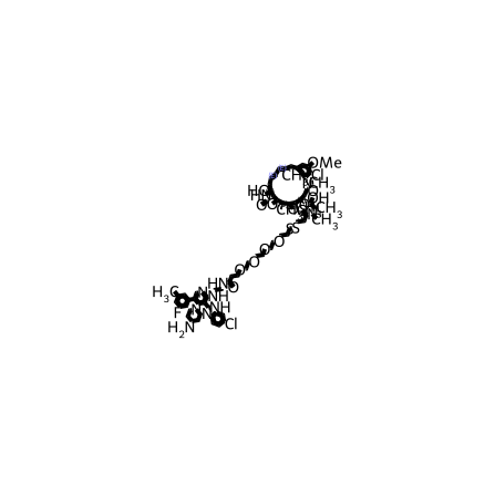 COc1cc2cc(c1Cl)N(C)C(=O)C[C@H](OC(O)[C@@H](C)N(C)C(=O)CCSSCCOCCOCCOCCOCCC(=O)NCCNc1ncc(-c3cc(C)cc(F)c3)c(N3CCC(N)CC3)c1-c1nc3ccc(Cl)cc3[nH]1)C1(C)OC1[C@@H](C)C1C[C@](O)(C/C=C/C=C(\C)C2)NC(=O)O1